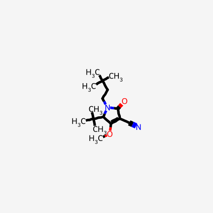 COC1=C(C#N)C(=O)N(CCC(C)(C)C)C1C(C)(C)C